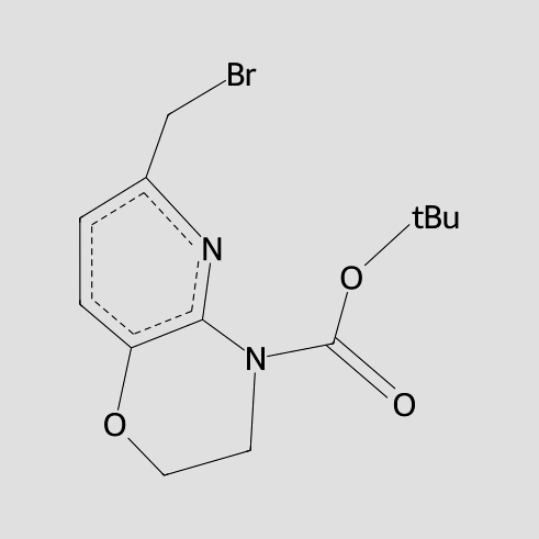 CC(C)(C)OC(=O)N1CCOc2ccc(CBr)nc21